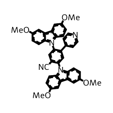 COc1ccc2c(c1)c1cc(OC)ccc1n2-c1cc(-c2ccncc2)c(-n2c3ccc(OC)cc3c3cc(OC)ccc32)cc1C#N